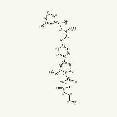 CC(C)Oc1cc(-c2ccc(CCN(C[C@@H](O)c3cccc(Cl)c3)C(=O)O)cc2)ccc1C(=O)NS(=O)(=O)CCCO